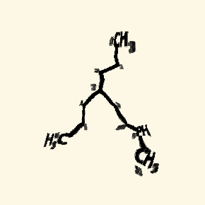 CCCC(CCC)CCPC